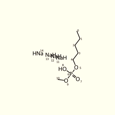 CCCCCOP(=O)(O)OC.[NaH].[NaH].[NaH].[NaH]